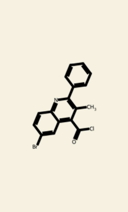 Cc1c(-c2ccccc2)nc2ccc(Br)cc2c1C(=O)Cl